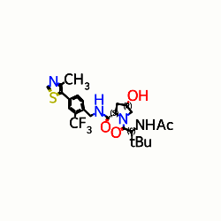 CC(=O)N[C@H](C(=O)N1C[C@H](O)C[C@H]1C(=O)NCc1ccc(-c2scnc2C)cc1C(F)(F)F)C(C)(C)C